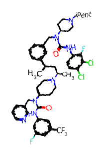 CCCC(C)N1CCC(N(Cc2cccc(C(C)CC(C)N3CCC(N(Cc4cccnc4)C(=O)Nc4cc(F)cc(C(F)(F)F)c4)CC3)c2)C(=O)Nc2ccc(Cl)c(Cl)c2F)CC1